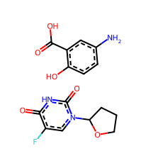 Nc1ccc(O)c(C(=O)O)c1.O=c1[nH]c(=O)n(C2CCCO2)cc1F